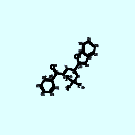 O=C(CCC(CC(F)(F)F)c1cc2ccccc2o1)c1ccccc1